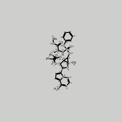 CC(C)C(=O)O[C@H]1[C@H](c2ccc3c(N)ncnn23)O[C@]2(C#N)C(OP(=O)(N[C@@H](C)C(=O)OC(C)(C)C)Oc3ccccc3)[C@]12OC(=O)C(C)C